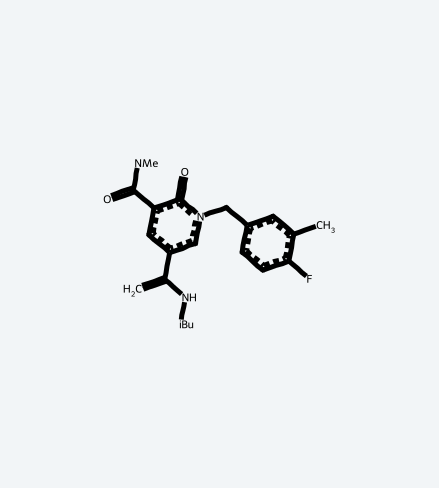 C=C(NC(C)CC)c1cc(C(=O)NC)c(=O)n(Cc2ccc(F)c(C)c2)c1